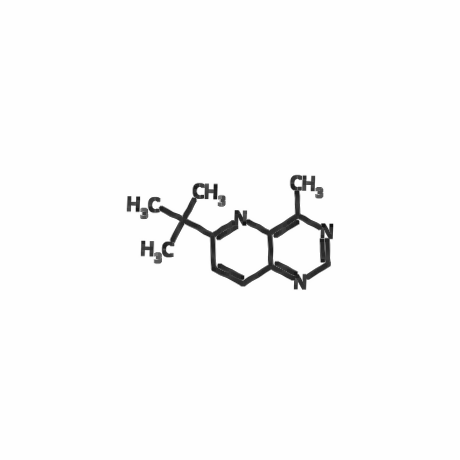 Cc1ncnc2ccc(C(C)(C)C)nc12